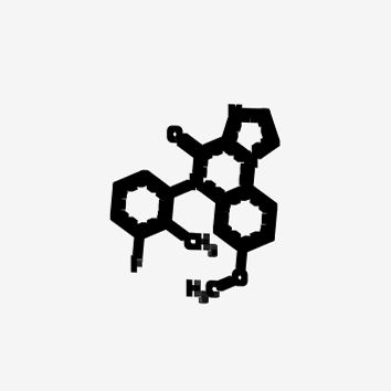 COc1ccc2c(c1)n(-c1cccc(F)c1C)c(=O)c1nccn12